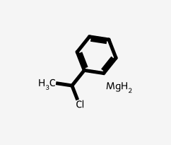 CC(Cl)c1ccccc1.[MgH2]